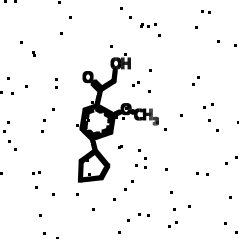 COc1cc(C2CCCC2)ccc1C(=O)CO